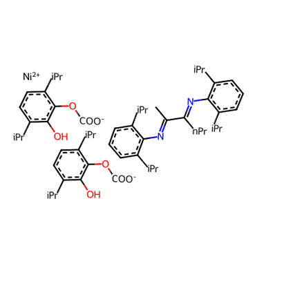 CC(C)c1ccc(C(C)C)c(OC(=O)[O-])c1O.CC(C)c1ccc(C(C)C)c(OC(=O)[O-])c1O.CCCC(=Nc1c(C(C)C)cccc1C(C)C)C(C)=Nc1c(C(C)C)cccc1C(C)C.[Ni+2]